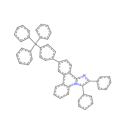 c1ccc(-c2nc3c4ccc(-c5ccc([Si](c6ccccc6)(c6ccccc6)c6ccccc6)cc5)cc4c4ccccc4n3c2-c2ccccc2)cc1